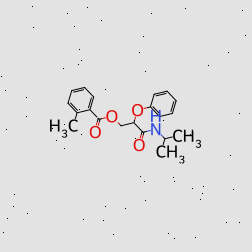 Cc1ccccc1C(=O)OCC(Oc1ccccc1)C(=O)NC(C)C